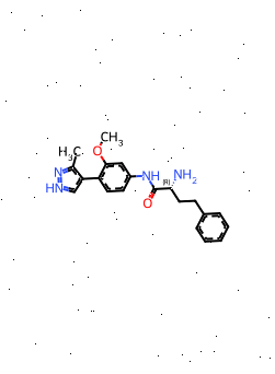 COc1cc(NC(=O)[C@H](N)CCc2ccccc2)ccc1-c1c[nH]nc1C